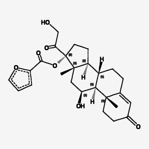 C[C@]12CCC(=O)C=C1CC[C@@H]1[C@@H]2[C@@H](O)C[C@@]2(C)[C@H]1CC[C@]2(OC(=O)c1ccco1)C(=O)CO